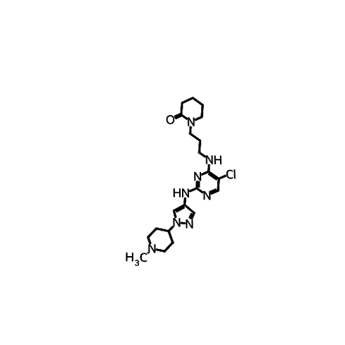 CN1CCC(n2cc(Nc3ncc(Cl)c(NCCCN4CCCCC4=O)n3)cn2)CC1